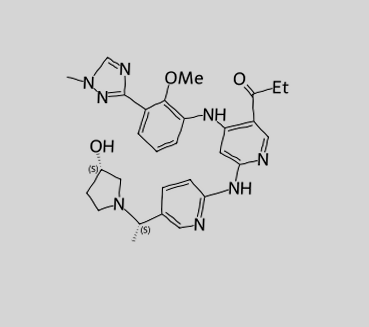 CCC(=O)c1cnc(Nc2ccc([C@H](C)N3CC[C@H](O)C3)cn2)cc1Nc1cccc(-c2ncn(C)n2)c1OC